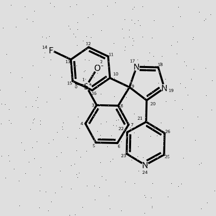 C[S+]([O-])c1ccccc1C1(c2ccc(F)cc2)N=CN=C1c1ccncc1